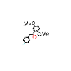 COc1ccc(OC)c(C(=O)Cc2ccc(F)cc2)c1